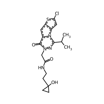 CC(C)c1nn(CC(=O)NCCC2(O)CC2)c(=O)c2cc3sc(Cl)cc3n12